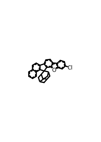 Clc1ccc2c(c1)oc1c3c(ccc12)-c1ccc2ccccc2c1C31C2CC3CC(C2)CC1C3